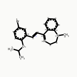 CC(C)Oc1ccc(Br)cc1/C=C/C1=NCCN(C)c2ccccc21